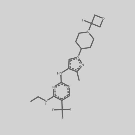 CCNc1nc(Nc2cn(C3CCN(C4(F)COC4)CC3)nc2C)ncc1C(F)(F)F